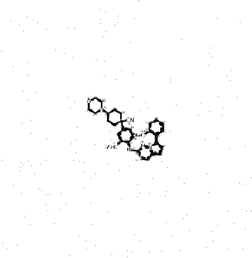 COc1cc(C2(C#N)CCC(N3CCOCC3)CC2)ccc1Nc1ncc2ccc(-c3ccccc3OC)n2n1